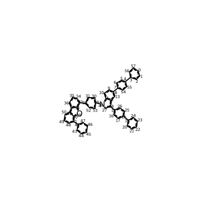 c1ccc(-c2ccc(-c3ccc4c(c3)c(-c3ccc(-c5ccccc5)cc3)cn4-c3ccc(-c4cccc5c4oc4c(-c6ccccc6)cccc45)cc3)cc2)cc1